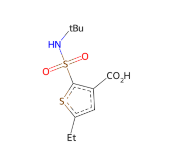 CCc1cc(C(=O)O)c(S(=O)(=O)NC(C)(C)C)s1